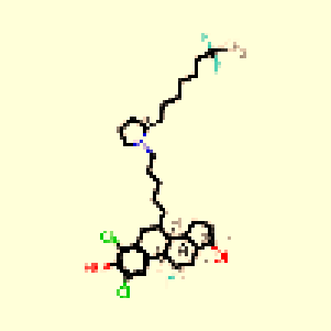 C[C@]12C[C@H](F)[C@@H]3c4cc(Cl)c(O)c(Cl)c4CC(CCCCCN4CCC[C@H]4CCCCCCC(F)(F)C(F)(F)F)[C@H]3[C@@H]1CC[C@@]2(C)O